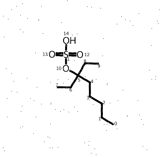 CCCCCC(CC)(CC)OS(=O)(=O)O